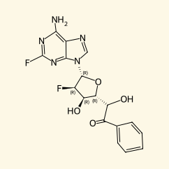 Nc1nc(F)nc2c1ncn2[C@@H]1O[C@H](C(O)C(=O)c2ccccc2)[C@@H](O)[C@H]1F